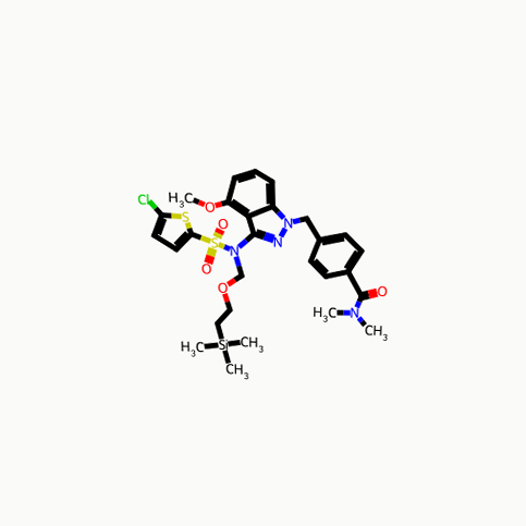 COc1cccc2c1c(N(COCC[Si](C)(C)C)S(=O)(=O)c1ccc(Cl)s1)nn2Cc1ccc(C(=O)N(C)C)cc1